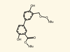 CCCCOOCc1cc(-c2ccc(O)c(C(=O)OCCCC)c2)ccc1O